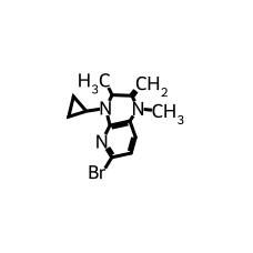 C=C1C(C)N(C2CC2)c2nc(Br)ccc2N1C